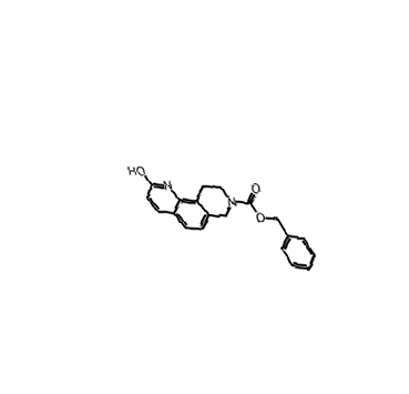 O=C(OCc1ccccc1)N1CCc2c(ccc3ccc(O)nc23)C1